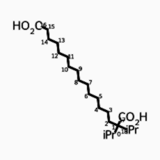 CC(C)C(CCCCCCCCCCCCCCC(=O)O)(C(=O)O)C(C)C